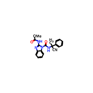 COC(=O)Nc1nc2ccccc2n1C(=O)NC(C)(C#N)c1ccccc1